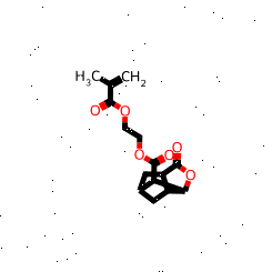 C=C(C)C(=O)OCCOC(=O)C1C2CC3C(=O)OC1C3C2